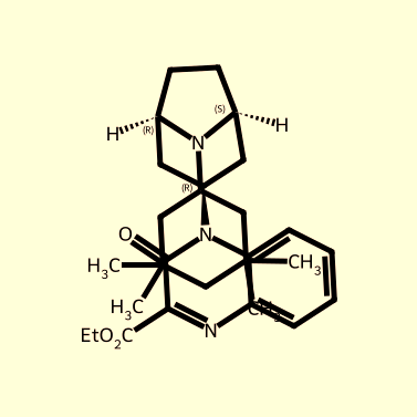 CCOC(=O)c1nc2ccccc2n([C@H]2C[C@H]3CC[C@@H](C2)N3C2CC(C)(C)CC(C)(C)C2)c1=O